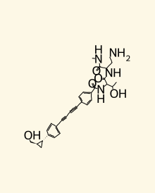 CNC(=O)C(CCN)NC(=O)C(NC(=O)c1ccc(C#CC#Cc2ccc([C@@H]3C[C@H]3CO)cc2)cc1)C(C)O